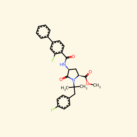 COC(=O)[C@@H]1C[C@H](NC(=O)c2ccc(-c3ccccc3)cc2F)C(=O)N1C(C)(C)Cc1ccc(F)cc1